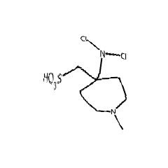 CN1CCC(CS(=O)(=O)O)(N(Cl)Cl)CC1